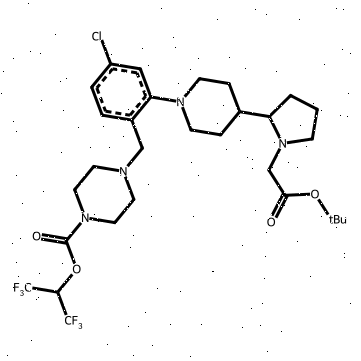 CC(C)(C)OC(=O)CN1CCCC1C1CCN(c2cc(Cl)ccc2CN2CCN(C(=O)OC(C(F)(F)F)C(F)(F)F)CC2)CC1